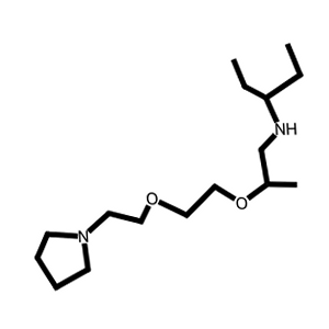 CCC(CC)NCC(C)OCCOCCN1CCCC1